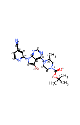 C[C@H]1CN(C(=O)OC(C)(C)C)CCN1c1ncnc2c1c(Br)cn2-c1cc(C#N)ccn1